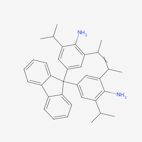 CC(C)c1cc(C2(c3cc(C(C)C)c(N)c(C(C)C)c3)c3ccccc3-c3ccccc32)cc(C(C)C)c1N